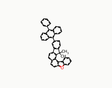 CC1(C)c2ccc(-c3c4ccccc4c(-c4ccccc4)c4ccccc34)cc2-c2ccc3ccc4oc5ccccc5c4c3c21